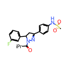 CC(C)C(=O)N1N=C(c2ccc(NS(C)(=O)=O)cc2)CC1c1cccc(F)c1